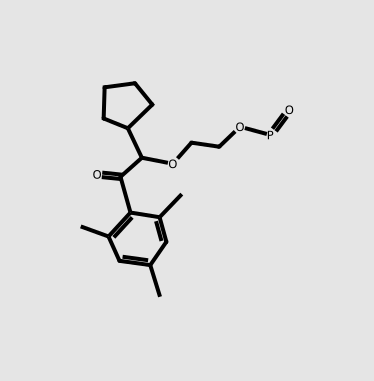 Cc1cc(C)c(C(=O)C(OCCOP=O)C2CCCC2)c(C)c1